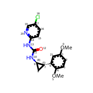 COc1ccc(OC)c([C@@H]2C[C@H]2NC(=O)Nc2ccc(Cl)cn2)c1